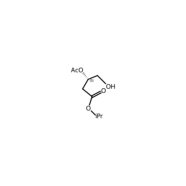 CC(=O)O[C@H](CO)CC(=O)OC(C)C